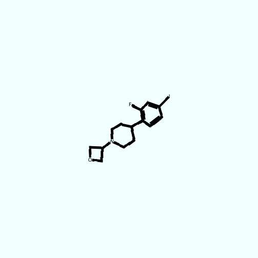 Fc1cc(I)ccc1C1CCN(C2COC2)CC1